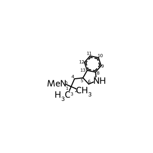 CNC(C)(C)CC1CNc2ccccc21